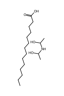 CC(O)NC(C)O.CCCCCCCCCCCCCC(=O)O